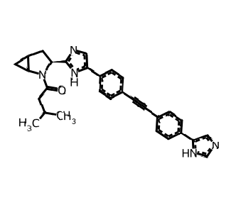 CC(C)CC(=O)N1C2CC2C[C@H]1c1ncc(-c2ccc(C#Cc3ccc(-c4cnc[nH]4)cc3)cc2)[nH]1